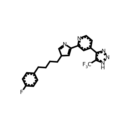 Fc1ccc(CCCCC2C=NC(c3cc(-c4nn[nH]c4C(F)(F)F)ccn3)=C2)cc1